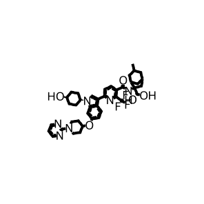 CC1CC2CC(C1)C(NC(=O)c1ccc(-c3cn([C@H]4CC[C@H](O)CC4)c4cc(OC5CCN(c6ncccn6)CC5)ccc34)nc1C(F)(F)F)(C(=O)O)C2